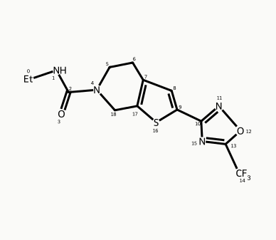 CCNC(=O)N1CCc2cc(-c3noc(C(F)(F)F)n3)sc2C1